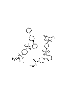 CN(C)S(=O)(=O)c1ccc(S(=O)(=O)Nc2ccccc2N2CCC(c3ccccc3)CC2)cc1.CN(C)S(=O)(=O)c1ccc(S(=O)(=O)Nc2ccccc2N2CCN(C(=O)OC(C)(C)C)CC2)cc1